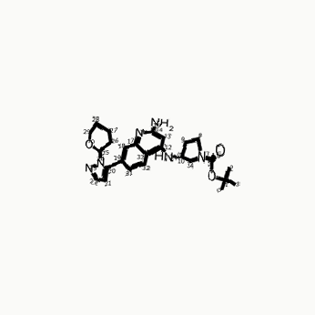 CC(C)(C)OC(=O)N1CC[C@H](Nc2cc(N)nc3cc(-c4ccnn4C4CCCCO4)ccc23)C1